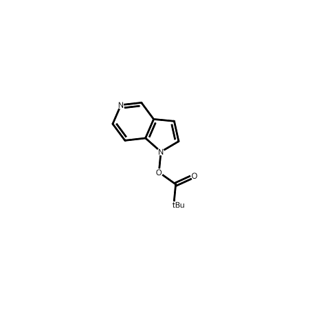 CC(C)(C)C(=O)On1ccc2cnccc21